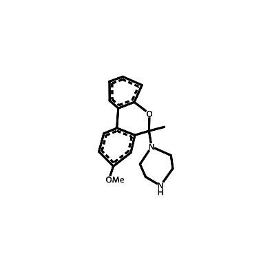 COc1ccc2c(c1)C(C)(N1CCNCC1)Oc1ccccc1-2